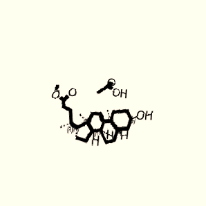 CC(=O)O.COC(=O)CC[C@@H](C)[C@H]1CC[C@H]2[C@@H]3CC[C@@H]4C[C@@H](O)CC[C@]4(C)C3=CC[C@]12C